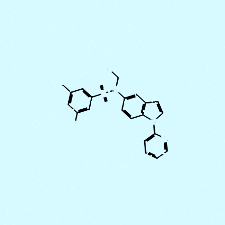 O=C(O)CN(c1ccc2c(ccn2-c2ccccn2)c1)S(=O)(=O)c1cc(Cl)cc(Cl)c1